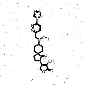 CC1=C(N2CCC3(CCC(N(C)Cc4ccc(-n5cnnn5)nn4)CC3)C2=O)COC1=O